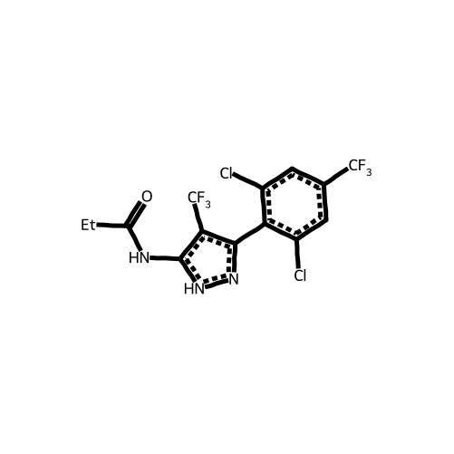 CCC(=O)Nc1[nH]nc(-c2c(Cl)cc(C(F)(F)F)cc2Cl)c1C(F)(F)F